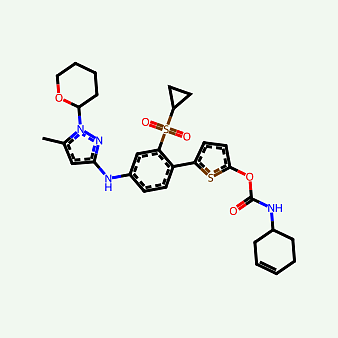 Cc1cc(Nc2ccc(-c3ccc(OC(=O)NC4CC=CCC4)s3)c(S(=O)(=O)C3CC3)c2)nn1C1CCCCO1